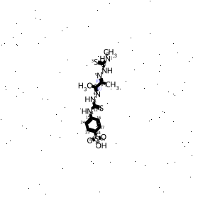 CNC(=S)N/N=C(C)/C(C)=N/NC(=S)Nc1ccc(S(=O)(=O)O)cc1